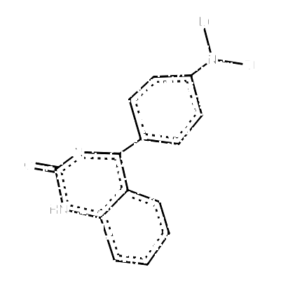 CCN(CC)c1ccc(-c2nc(=O)[nH]c3ccccc23)cc1